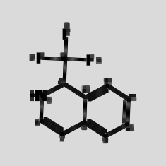 FC(F)(F)C1NC=Cc2ccccc21